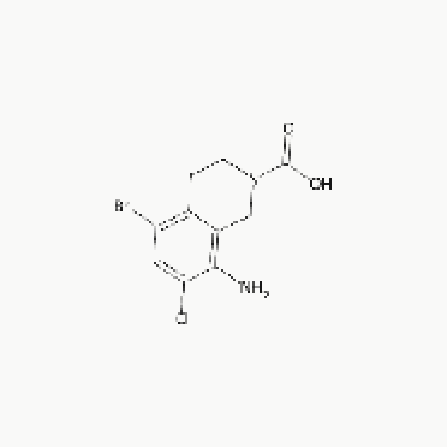 Nc1c(Cl)cc(Br)c2c1CN(C(=O)O)CC2